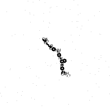 C=CC(=O)OCCCCC(=O)Oc1ccc(N/C=N/c2ccc(/N=N/c3ccc(/N=N/c4ccc(N(CC)CC)cc4)c4ccccc34)cc2)cc1